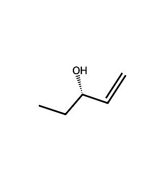 C=C[C@@H](O)CC